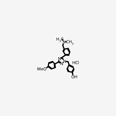 COc1ccc(-c2nc(-c3cccc(CN(C)C)c3)n(Cc3ccc(O)cc3)n2)cc1.Cl